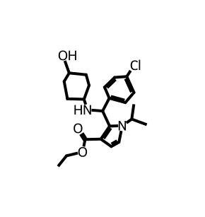 CCOC(=O)c1ccn(C(C)C)c1C(NC1CCC(O)CC1)c1ccc(Cl)cc1